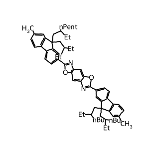 CCCCCC(CC)CC1(CC(CC)CC)c2cc(C)ccc2-c2ccc(-c3nc4cc5oc(-c6ccc7c(c6)C(CC(CC)CCCC)(CC(CC)CCCC)c6cc(C)ccc6-7)nc5cc4o3)cc21